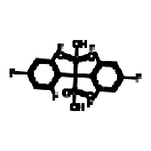 O=S(=O)(O)C(c1c(F)cc(F)cc1F)(c1c(F)cc(F)cc1F)S(=O)(=O)O